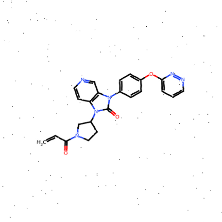 C=CC(=O)N1CCC(n2c(=O)n(-c3ccc(Oc4cccnn4)cc3)c3cnccc32)C1